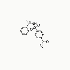 COC(=O)c1ccc(S(=O)(=O)N[C@@H](C)c2ccccc2)cc1